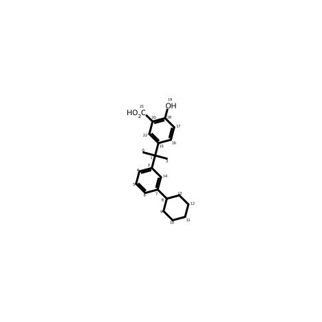 CC(C)(c1cccc(C2CCCCC2)c1)c1ccc(O)c(C(=O)O)c1